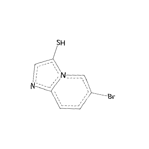 Sc1cnc2ccc(Br)cn12